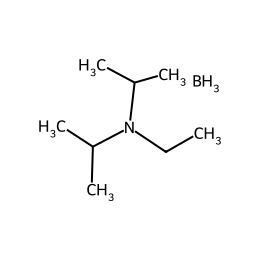 B.CCN(C(C)C)C(C)C